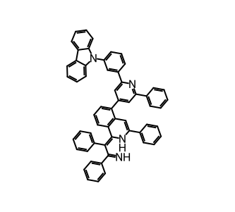 N=C(/C(=C1\NC(c2ccccc2)=Cc2c1cccc2-c1cc(-c2ccccc2)nc(-c2cccc(-n3c4ccccc4c4ccccc43)c2)c1)c1ccccc1)c1ccccc1